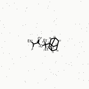 CCC(I)C(=O)OC(CC)(CC)C12CC3CC(CC(C3)C1)C2